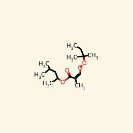 CCC(C)(C)OOC=C(C)C(=O)OC(C)CC(C)C